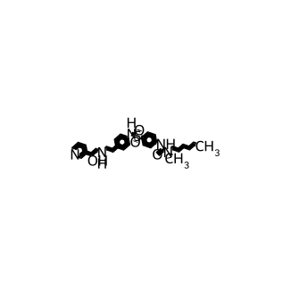 CCCCCCN(C)C(=O)Nc1ccc(S(=O)(=O)Nc2ccc(CCNCC(O)c3cccnc3)cc2)cc1